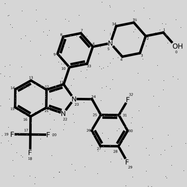 OCC1CCN(c2cccc(-c3c4cccc(C(F)(F)F)c4nn3Cc3ccc(F)cc3F)c2)CC1